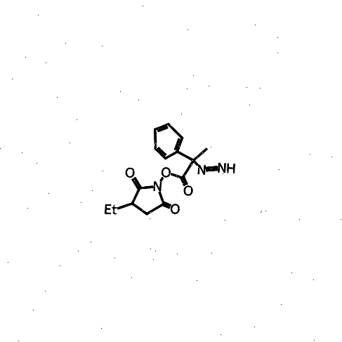 CCC1CC(=O)N(OC(=O)C(C)(N=N)c2ccccc2)C1=O